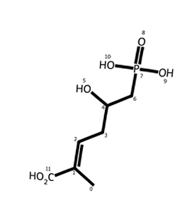 CC(=CCC(O)CP(=O)(O)O)C(=O)O